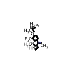 C=Nc1[nH]ccc1/C(=C\C)c1ccc(OCC(C)(N)CC(C)C)c(C(F)(F)F)c1